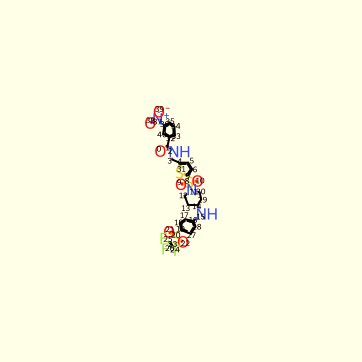 O=C(NCc1ccc(S(=O)(=O)N2CCC(Nc3ccc(S(=O)(=O)C(F)(F)F)cc3)CC2)s1)c1cccc([N+](=O)[O-])c1